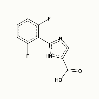 O=C(O)c1cnc(-c2c(F)cccc2F)[nH]1